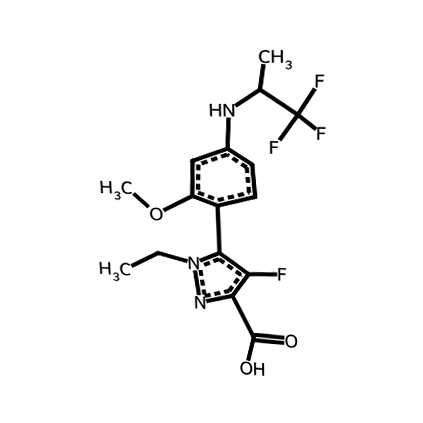 CCn1nc(C(=O)O)c(F)c1-c1ccc(NC(C)C(F)(F)F)cc1OC